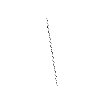 CCCC=CCCCCCCCCCCCCCCCCCCCCCCCCC